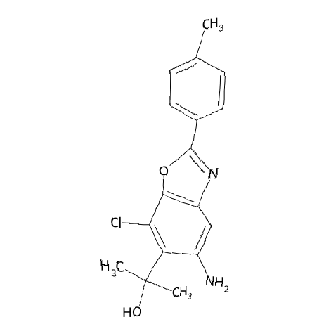 Cc1ccc(-c2nc3cc(N)c(C(C)(C)O)c(Cl)c3o2)cc1